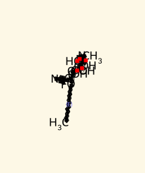 C#C[C@@]1(c2ccc3c(C)ncnn23)O[C@H](COP(=O)(O)OC[C@@H](COCCCCCCCC/C=C/CCCCCCCC)OCc2ccc(C#N)cc2F)[C@@H](O)[C@H]1O